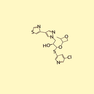 CC1OCC1OC(Sc1cncc(Cl)c1)[C@@H](O)Cn1cc(-c2cscn2)cn1